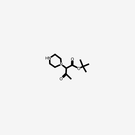 CC(=O)[C](C(=O)OC(C)(C)C)N1CCNCC1